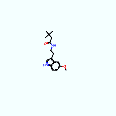 COc1ccc2[nH]cc(CCNC(=O)CC(C)(C)C)c2c1